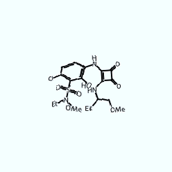 CCC(COC)Nc1c(Nc2ccc(Cl)c(S(=O)(=O)N(CC)OC)c2O)c(=O)c1=O